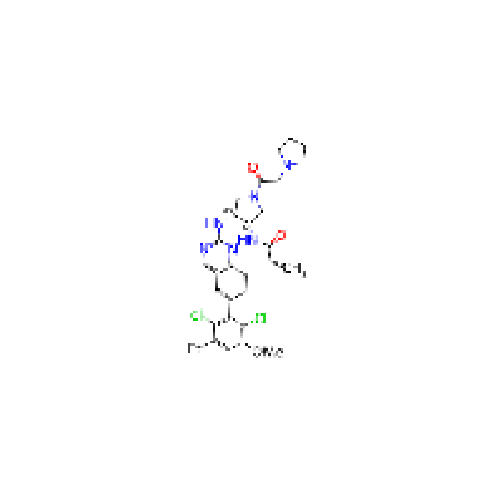 C=CC(=O)N[C@H]1CN(C(=O)CN2CCCC2)C[C@H]1Nc1ncc2cc(-c3c(Cl)c(CC)cc(OC)c3Cl)ccc2n1